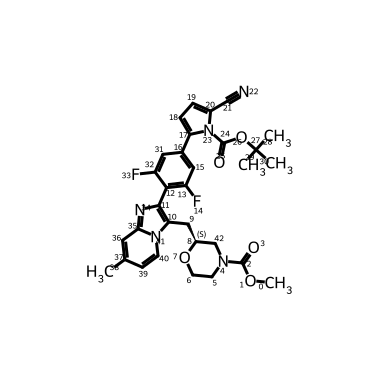 COC(=O)N1CCO[C@@H](Cc2c(-c3c(F)cc(-c4ccc(C#N)n4C(=O)OC(C)(C)C)cc3F)nc3cc(C)ccn23)C1